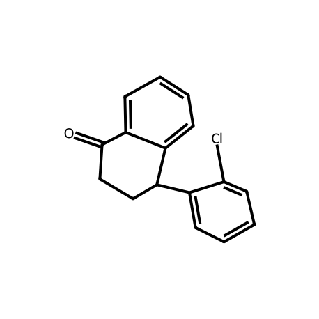 O=C1CCC(c2ccccc2Cl)c2ccccc21